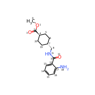 COC(=O)[C@H]1CC[C@H](CNC(=O)c2ccccc2N)CC1